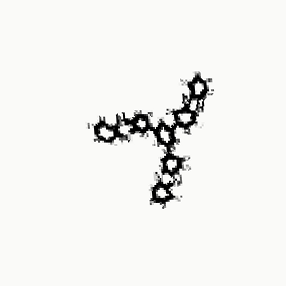 c1ccc2nc3cc(-c4cc(-c5ccc6nc7ccccc7nc6c5)cc(-c5ccc6nc7ccccc7nc6c5)c4)ccc3nc2c1